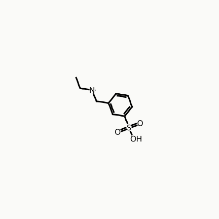 CC[N]Cc1cccc(S(=O)(=O)O)c1